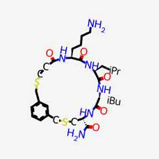 CC[C@H](C)[C@@H]1NC(=O)[C@H](CC(C)C)NC(=O)[C@H](CCCCN)NC(=O)CCSCc2cccc(c2)CSC[C@@H](C(N)=O)NC1=O